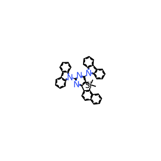 C[Si]1(C)c2c(nc(-n3c4ccccc4c4ccccc43)nc2-n2c3ccccc3c3ccccc32)-c2ccc3ccccc3c21